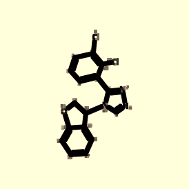 Clc1cccc(-c2nncn2C2COc3ccccc32)c1Cl